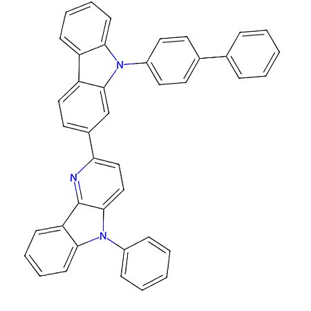 c1ccc(-c2ccc(-n3c4ccccc4c4ccc(-c5ccc6c(n5)c5ccccc5n6-c5ccccc5)cc43)cc2)cc1